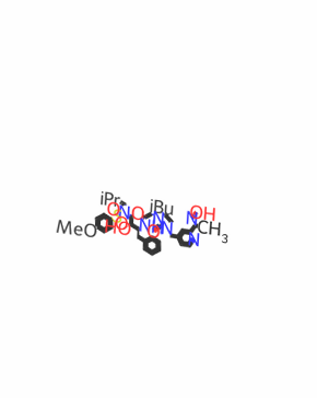 CC[C@H](C)[C@@H](C(=O)N[C@@H](Cc1ccccc1)[C@H](O)CN(CC(C)C)S(=O)(=O)c1ccc(OC)cc1)N1CCN(Cc2ccnc(C(C)=NO)c2)C1=O